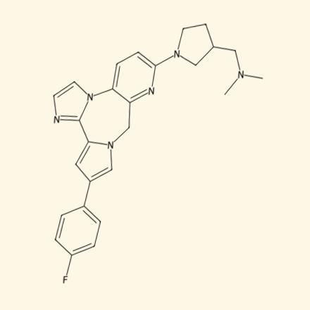 CN(C)CC1CCN(c2ccc3c(n2)Cn2cc(-c4ccc(F)cc4)cc2-c2nccn2-3)C1